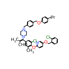 C/C(C=O)=C(/c1cc(C)c(Oc2ccc(OCc3ccccc3Cl)cn2)c(Cl)c1)N1CCN(Cc2ccc(COc3ccc(C(C)C)cc3)cc2)CC1